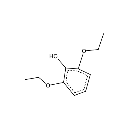 CCOc1cccc(OCC)c1O